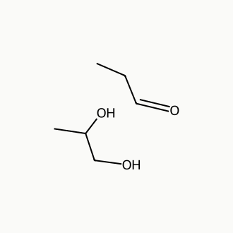 CC(O)CO.CCC=O